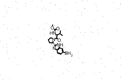 Bc1ccc2nc([C@@H]3CCCN3C(=O)[C@@H](NC(=O)OC)C(C)C)[nH]c2c1